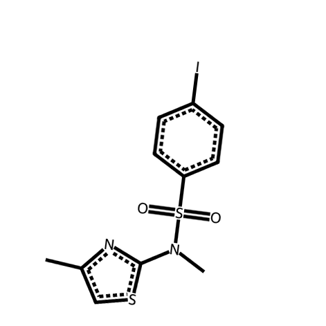 Cc1csc(N(C)S(=O)(=O)c2ccc(I)cc2)n1